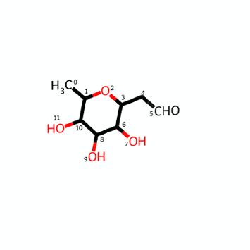 CC1OC(CC=O)C(O)C(O)C1O